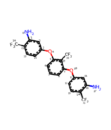 Nc1cc(Oc2cccc(Oc3ccc(C(F)(F)F)c(N)c3)c2C(F)(F)F)ccc1C(F)(F)F